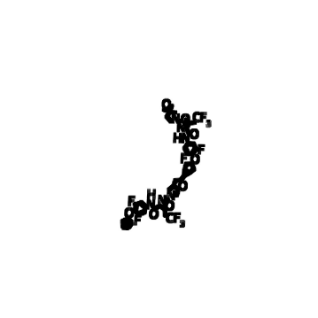 O=C(Nc1cc(F)c(OC2CC3C4C2C34)c(F)c1)c1nc(N2CC3CC(C4C5CC(Oc6c(F)cc(NC(=O)c7nc(N8CCC9(COC9)C8)oc7CC(F)(F)F)cc6F)CC54)OC3C2)oc1CC(F)(F)F